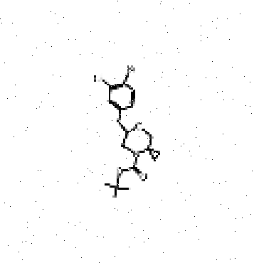 CC(C)(C)OC(=O)N1CC(Cc2ccc(Br)c(Cl)c2)OCC12CC2